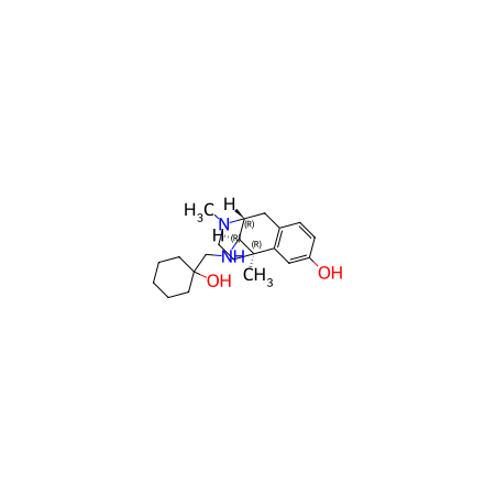 CN1CC[C@]2(C)c3cc(O)ccc3C[C@@H]1[C@@H]2NCC1(O)CCCCC1